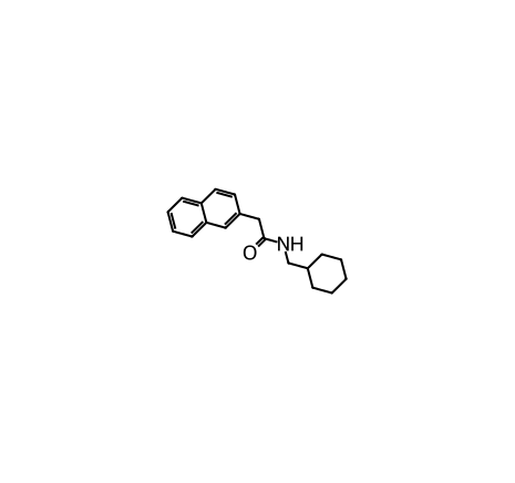 O=C(Cc1ccc2ccccc2c1)NCC1CCCCC1